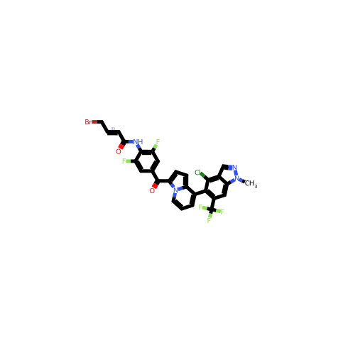 Cn1ncc2c(Cl)c(-c3cccn4c(C(=O)c5cc(F)c(NC(=O)/C=C/CBr)c(F)c5)ccc34)c(C(F)(F)F)cc21